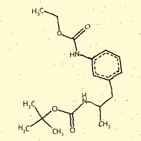 CCOC(=O)Nc1cccc(CC(C)NC(=O)OC(C)(C)C)c1